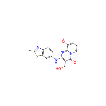 COc1cccn2c(=O)c(CO)c(Nc3ccc4nc(C)sc4c3)nc12